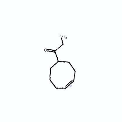 CCC(=O)C1CC/C=C\CCC1